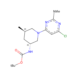 CNc1nc(Cl)cc(N2C[C@H](C)C[C@@H](NC(=O)OC(C)(C)C)C2)n1